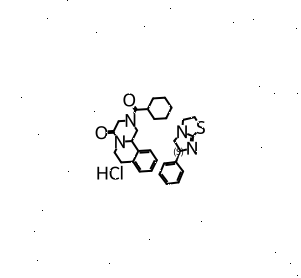 Cl.O=C(C1CCCCC1)N1CC(=O)N2CCc3ccccc3C2C1.c1ccc([C@H]2CN3CCSC3=N2)cc1